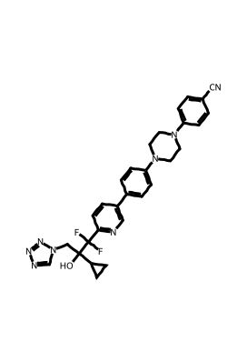 N#Cc1ccc(N2CCN(c3ccc(-c4ccc(C(F)(F)C(O)(Cn5cnnn5)C5CC5)nc4)cc3)CC2)cc1